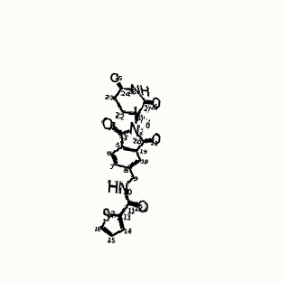 C[C@]1(N2C(=O)c3ccc(CNC(=O)c4cccs4)cc3C2=O)CCC(=O)NC1=O